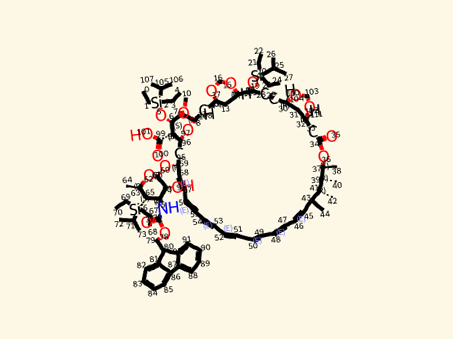 CC[Si](CC)(O[C@H]1C[C@@]2(OC)C[C@@H]3C[C@@H](OCO3)[C@H](O[Si](CC)(CC)C(C)C)CC[C@@H]3C[C@H](CC(=O)O[C@@H](C)[C@H](C)[C@H](C)C(C)/C=C/C=C/C=C/C=C/C=C/C=C/C=C/[C@H](O[C@@H]4O[C@H](C)[C@@H]([Si](CC)(CC)C(C)C)[C@H](NC(=O)OCC5c6ccccc6-c6ccccc65)[C@H]4O)CC(O2)[C@@H]1C(=O)O)OCO3)C(C)C